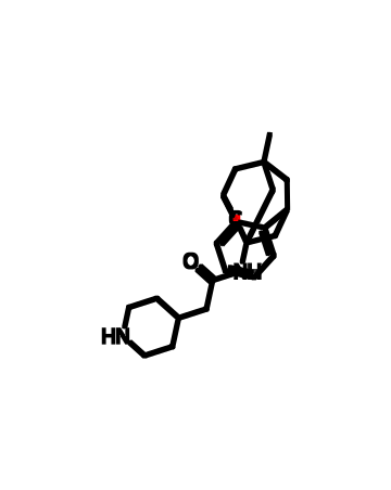 CC12CC3CC(NC(=O)CC4CCNCC4)(CC(C1)c1ccccc13)C2